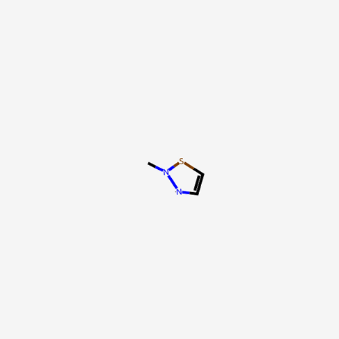 CN1[N]C=CS1